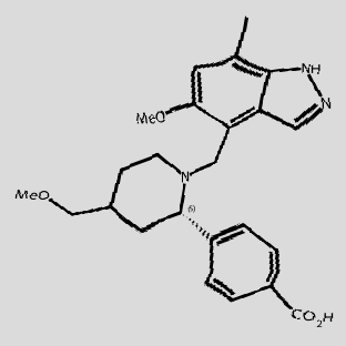 COCC1CCN(Cc2c(OC)cc(C)c3[nH]ncc23)[C@H](c2ccc(C(=O)O)cc2)C1